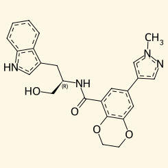 Cn1cc(-c2cc3c(c(C(=O)N[C@@H](CO)Cc4c[nH]c5ccccc45)c2)OCCO3)cn1